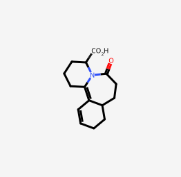 O=C(O)C1CCCC2=C3C=CCCC3CCC(=O)N21